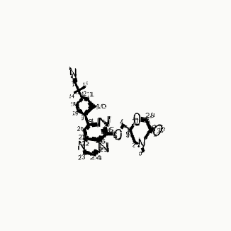 CN1C[C@@H](COc2nc(-c3ccc(C(C)(C)C#N)cc3)cc3nccnc23)OCC1=O